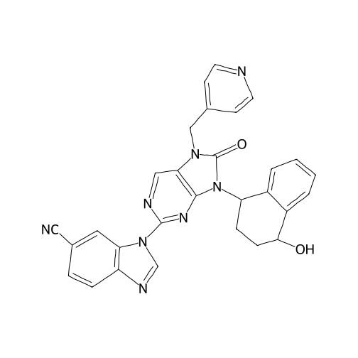 N#Cc1ccc2ncn(-c3ncc4c(n3)n(C3CCC(O)c5ccccc53)c(=O)n4Cc3ccncc3)c2c1